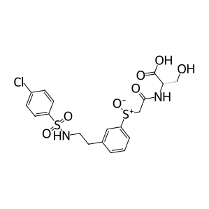 O=C(C[S+]([O-])c1cccc(CCNS(=O)(=O)c2ccc(Cl)cc2)c1)N[C@@H](CO)C(=O)O